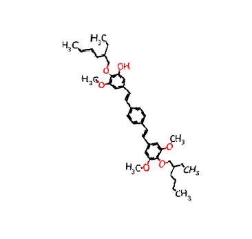 CCCCC(CC)COc1c(O)cc(/C=C/c2ccc(/C=C/c3cc(OC)c(OCC(CC)CCCC)c(OC)c3)cc2)cc1OC